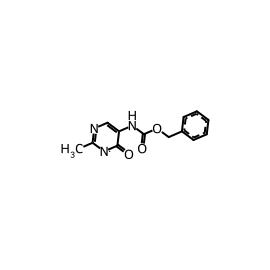 CC1=NC=C(NC(=O)OCc2ccccc2)C(=O)[N]1